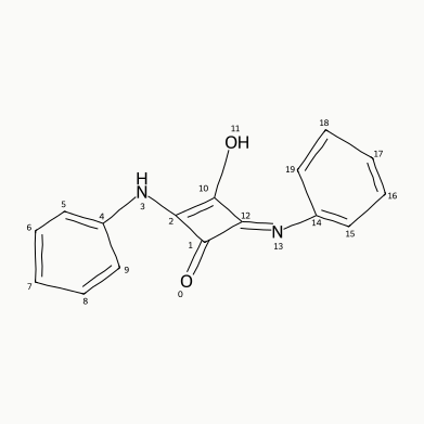 O=c1c(Nc2ccccc2)c(O)/c1=N\c1ccccc1